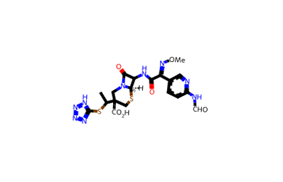 CON=C(C(=O)NC1C(=O)N2CC(C(=O)O)(C(C)Sc3nnn[nH]3)CS[C@H]12)c1ccc(NC=O)nc1